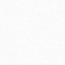 CCCCCCCCCOP(O)(O)=S.O=P(O)(O)O